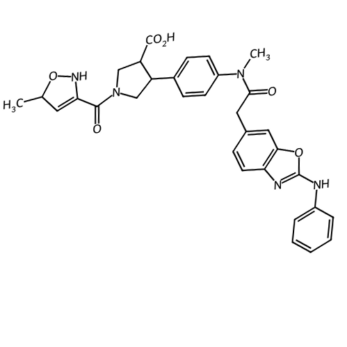 CC1C=C(C(=O)N2CC(C(=O)O)C(c3ccc(N(C)C(=O)Cc4ccc5nc(Nc6ccccc6)oc5c4)cc3)C2)NO1